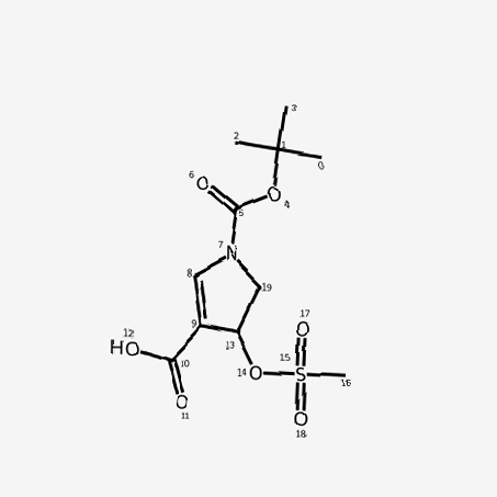 CC(C)(C)OC(=O)N1C=C(C(=O)O)C(OS(C)(=O)=O)C1